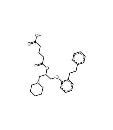 O=C(O)CCCC(=O)OC(COc1ccccc1CCc1ccccc1)CN1CCCCC1